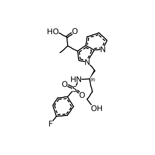 CC(C(=O)O)c1cn(C[C@@H](CCO)NS(=O)(=O)c2ccc(F)cc2)c2ncccc12